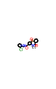 CCN1C(=O)c2ccccc2[S+]([O-])c2ccc(C(=O)NCc3ccccc3Cl)cc21